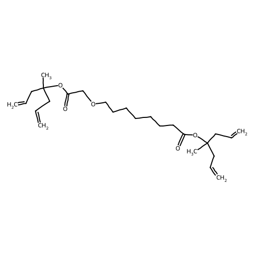 C=CCC(C)(CC=C)OC(=O)CCCCCCCOCC(=O)OC(C)(CC=C)CC=C